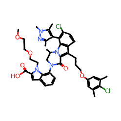 COCCOCCn1c(C(=O)O)cc2cccc(N3CC(C)n4c(c(CCCOc5cc(C)c(Cl)c(C)c5)c5ccc(Cl)c(-c6c(C)nn(C)c6C)c54)C3=O)c21